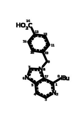 CCC(C)c1nccc2ncn(Cc3ccc(C(=O)O)cc3)c12